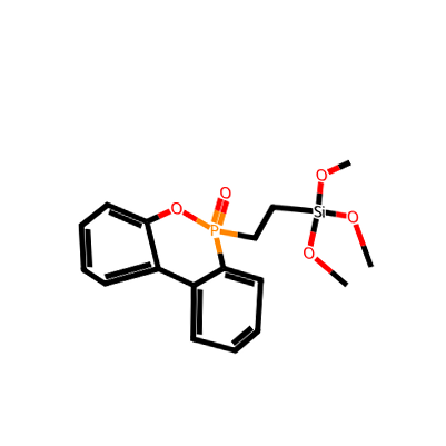 CO[Si](CCP1(=O)Oc2ccccc2-c2ccccc21)(OC)OC